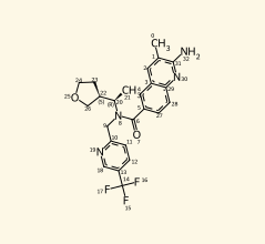 Cc1cc2cc(C(=O)N(Cc3ccc(C(F)(F)F)cn3)[C@H](C)[C@@H]3CCOC3)ccc2nc1N